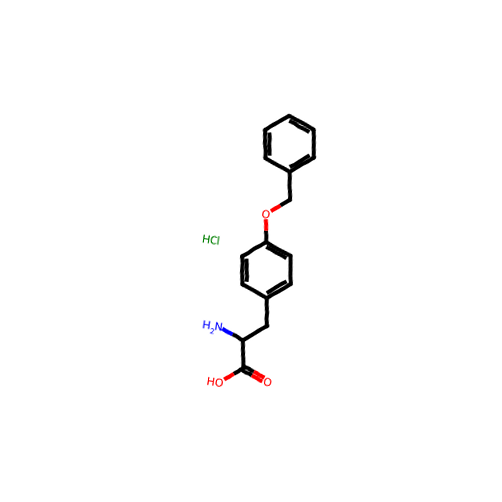 Cl.NC(Cc1ccc(OCc2ccccc2)cc1)C(=O)O